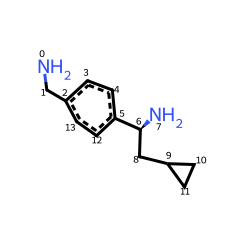 NCc1ccc([C@@H](N)CC2CC2)cc1